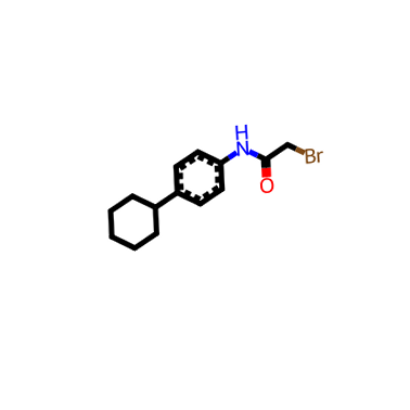 O=C(CBr)Nc1ccc(C2CCCCC2)cc1